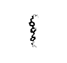 CCCCc1ccc(-c2ccc(CCc3ccc(OCC)cc3)cn2)cc1